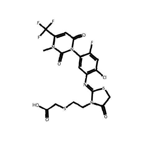 Cn1c(C(F)(F)F)cc(=O)n(-c2cc(/N=C3\SCC(=O)N3CCSCC(=O)O)c(Cl)cc2F)c1=O